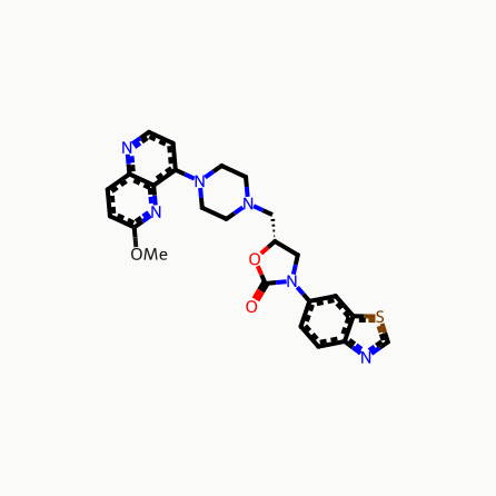 COc1ccc2nccc(N3CCN(C[C@@H]4CN(c5ccc6ncsc6c5)C(=O)O4)CC3)c2n1